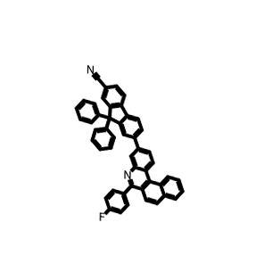 N#Cc1ccc2c(c1)C(c1ccccc1)(c1ccccc1)c1cc(-c3ccc4c(c3)nc(-c3ccc(F)cc3)c3ccc5ccccc5c34)ccc1-2